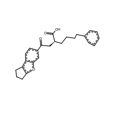 O=C(C[C@H](CCCCc1ccccc1)C(=O)O)c1ccc2c3c(oc2c1)CCC3